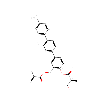 C=C(C)C(=O)OCc1cc(-c2ccc(-c3ccc(CCCCC)cc3)c(CC)c2)ccc1OC(=O)C(=C)CO